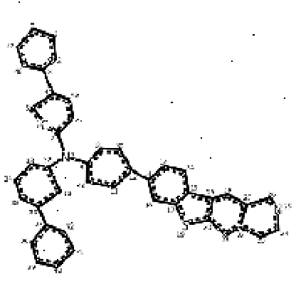 c1ccc(-c2ccc(N(c3ccc(-c4ccc5c(c4)sc4cc6ccncc6cc45)cc3)c3cccc(-c4ccccc4)c3)cc2)cc1